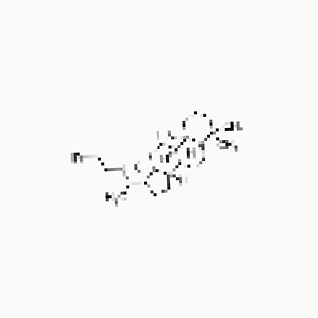 CC(C)CCCC(C)[C@H]1CC[C@H]2[C@@H]3CC=C4C(C)(C)CCC[C@]4(C)[C@H]3CC[C@]12C